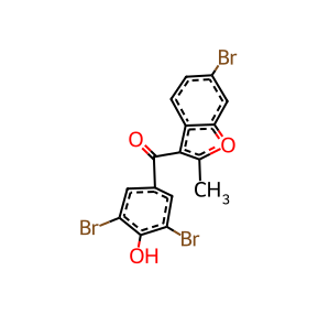 Cc1oc2cc(Br)ccc2c1C(=O)c1cc(Br)c(O)c(Br)c1